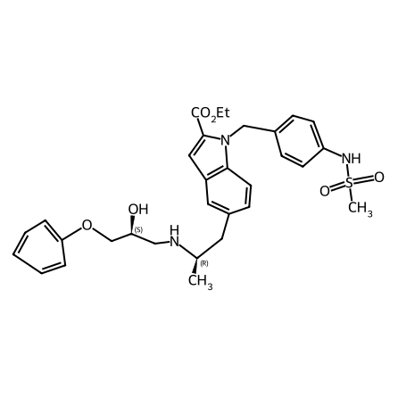 CCOC(=O)c1cc2cc(C[C@@H](C)NC[C@H](O)COc3ccccc3)ccc2n1Cc1ccc(NS(C)(=O)=O)cc1